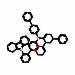 C1=CC(C2CC(c3ccccc3)CC=C2N(c2ccc(-c3ccccc3)cc2)c2ccc(-c3ccccc3-n3c4c(c5ccccc53)C=CCC4)cc2)=CCC1